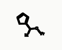 CCC(OC(C)C)C1=CC=CC1